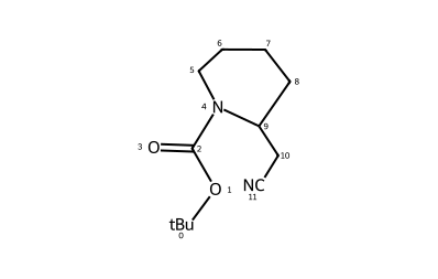 CC(C)(C)OC(=O)N1CCCCC1CC#N